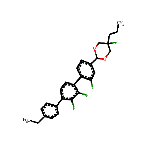 CCCC1(F)COC(c2ccc(-c3ccc(-c4ccc(CC)cc4)c(F)c3F)c(F)c2)OC1